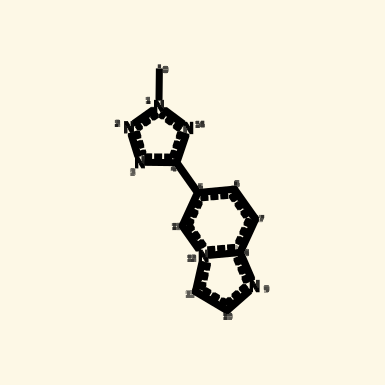 [CH2]n1nnc(-c2ccc3nccn3c2)n1